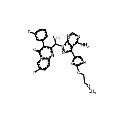 COCCOc1ncc(-c2nn(C(C)c3nc4ccc(F)cn4c(=O)c3-c3cccc(F)c3)c3ncnc(N)c23)s1